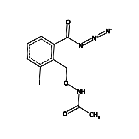 CC(=O)NOCc1c(I)cccc1C(=O)N=[N+]=[N-]